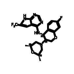 C[C@@H]1CN([C@@H]2COc3cc(F)ccc3[C@H]2Nc2ncnc3[nH]c(C(F)(F)F)cc23)C[C@H](C)O1